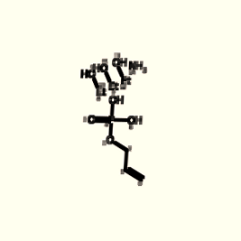 C=CCOP(=O)(O)O.CCO.CCO.CCO.N